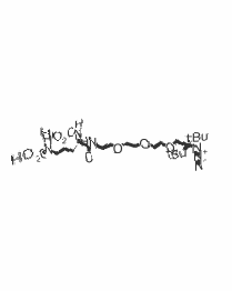 CC(C)(C)C(COCCOCCOCCNC(=O)[C@H](CCCNC(=O)O)NC(=O)O)(N=[N+]=[N-])C(C)(C)C